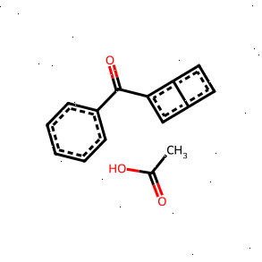 CC(=O)O.O=C(c1ccccc1)c1cc2ccc1-2